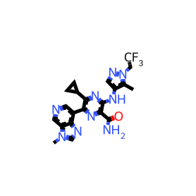 Cc1c(Nc2nc(C3CC3)c(-c3cncc4c3ncn4C)nc2C(N)=O)cnn1CC(F)(F)F